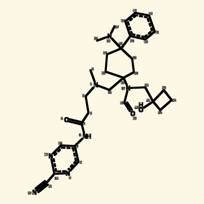 CN(CCC(=O)Nc1cnc(C#N)nc1)CC1(N(C=O)CC2(O)CCC2)CCC(c2ccccc2)(N(C)C)CC1